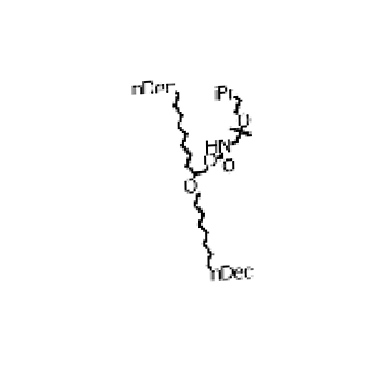 CCCCCCCCCCCCCCCCCCOC(CCCCCCCCCCCCCCCCCC)COC(=O)NCC(C)(C)OCCC(C)C